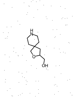 OCC1CC2(CCNCC2)CO1